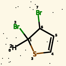 [2H]C1(Br)SC=CC1Br